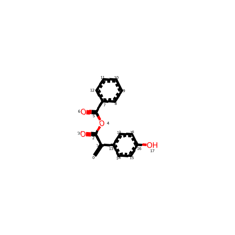 C=C(C(=O)OC(=O)c1ccccc1)c1ccc(O)cc1